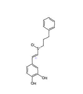 [O-][S+](/C=C/c1ccc(O)c(O)c1)CCCc1ccccc1